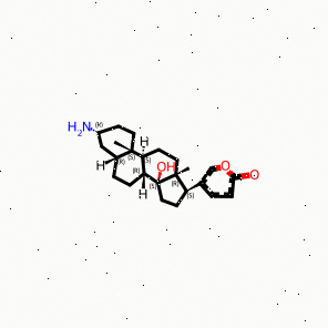 C[C@]12CC[C@@H](N)C[C@H]1CC[C@@H]1[C@@H]2CC[C@]2(C)[C@@H](c3ccc(=O)oc3)CC[C@]12O